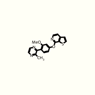 COc1cc(Oc2nccc3ccsc23)ccc1-c1nccnc1C